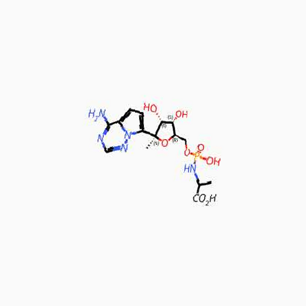 CC(NP(=O)(O)OC[C@H]1O[C@@](C)(c2ccc3c(N)ncnn23)[C@H](O)[C@@H]1O)C(=O)O